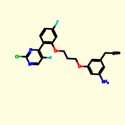 CSCc1cc(N)cc(OCCCOc2cc(F)ccc2-c2nc(Cl)ncc2F)c1